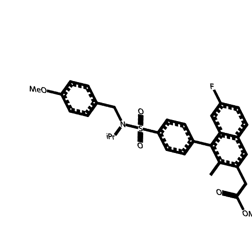 COC(=O)Cc1cc2ccc(F)cc2c(-c2ccc(S(=O)(=O)N(Cc3ccc(OC)cc3)C(C)C)cc2)c1C